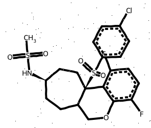 CS(=O)(=O)N[C@@H]1CCC2COc3c(F)ccc(F)c3[C@@]2(S(=O)(=O)c2ccc(Cl)cc2)CC1